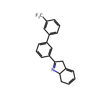 FC(F)(F)c1cccc(-c2cccc(C3=NC4CC=CC=C4C3)c2)c1